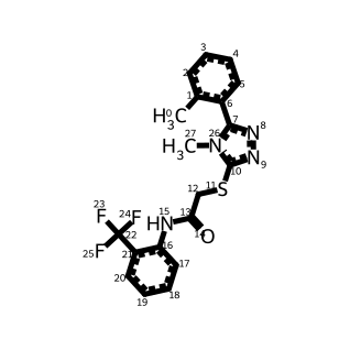 Cc1ccccc1-c1nnc(SCC(=O)Nc2ccccc2C(F)(F)F)n1C